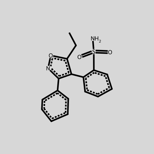 CCc1onc(-c2ccccc2)c1-c1ccccc1S(N)(=O)=O